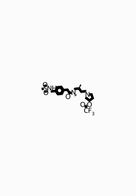 C[C@@H](CCN1CC[C@H](OC(=O)C(F)(F)F)C1)CN(C)C(=O)Cc1ccc(CNS(C)(=O)=O)cc1